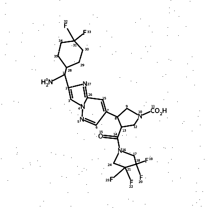 NC(c1cn2ncc(C3CN(C(=O)O)CC3C(=O)N3CC(F)(F)C(F)(F)C3)cc2n1)C1CCC(F)(F)CC1